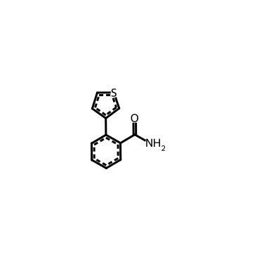 NC(=O)c1ccccc1-c1ccsc1